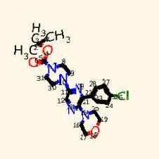 CC(C)(C)OC(=O)N1CCN(c2cnc(N3CCOCC3)c(-c3ccc(Cl)cc3)n2)CC1